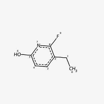 CCc1ccc(O)nc1F